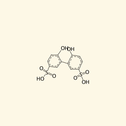 O=S(=O)(O)c1ccc(O)c(-c2cc(S(=O)(=O)O)ccc2O)c1